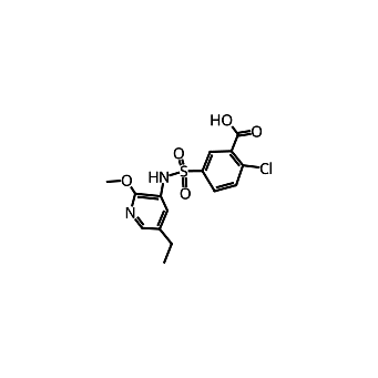 CCc1cnc(OC)c(NS(=O)(=O)c2ccc(Cl)c(C(=O)O)c2)c1